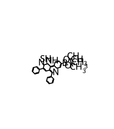 CC1(C)OB(c2ccc3c4c(c(-c5ccccc5)nc3c2)C=C(c2ccccc2)/C(=N/S)C4=N)OC1(C)C